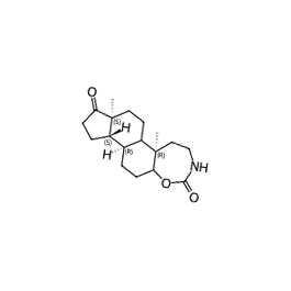 C[C@]12CCNC(=O)OC1CC[C@@H]1C2CC[C@]2(C)C(=O)CC[C@@H]12